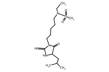 CCN(CCCCCN1C(=N)NC(CC(C)C)C1=O)S(C)(=O)=O